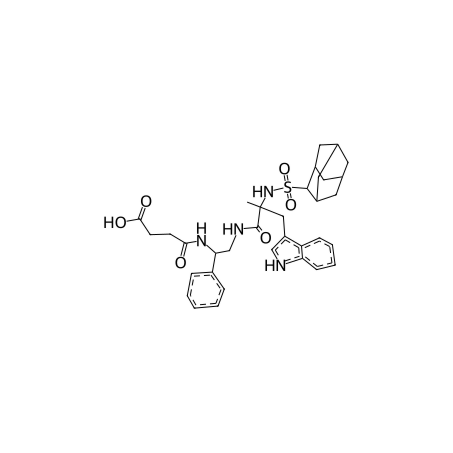 CC(Cc1c[nH]c2ccccc12)(NS(=O)(=O)C1C2CC3CC(C2)CC1C3)C(=O)NCC(NC(=O)CCC(=O)O)c1ccccc1